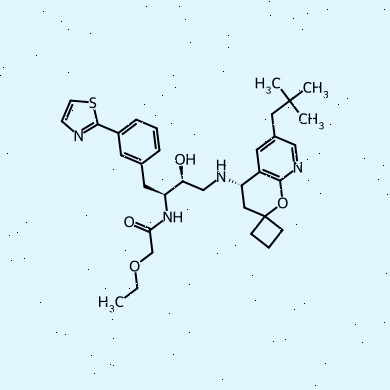 CCOCC(=O)N[C@@H](Cc1cccc(-c2nccs2)c1)[C@@H](O)CN[C@H]1CC2(CCC2)Oc2ncc(CC(C)(C)C)cc21